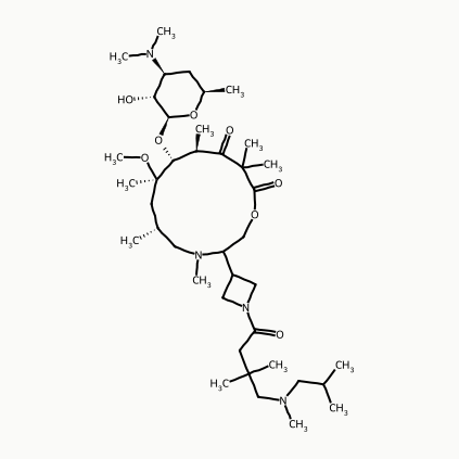 CO[C@]1(C)C[C@@H](C)CN(C)C(C2CN(C(=O)CC(C)(C)CN(C)CC(C)C)C2)COC(=O)C(C)(C)C(=O)[C@H](C)[C@H]1O[C@@H]1O[C@H](C)C[C@H](N(C)C)[C@H]1O